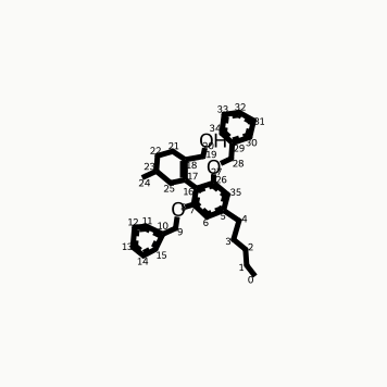 CCCCCc1cc(OCc2ccccc2)c(C2=C(CO)CCC(C)C2)c(OCc2ccccc2)c1